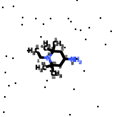 CCN1C(C)(C)CC(N)CC1(C)C